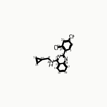 Clc1ccc(-c2nc(NCC3CC3)c3ccccc3n2)c(Cl)c1